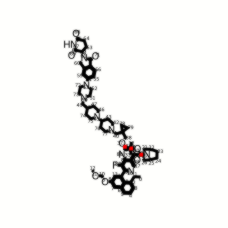 CCc1cccc2cc(OCOC)cc(-c3ncc4c(N5CC6CCC(C5)N6C(=O)OC(C)(C)C)nc(OCC5(CN6CCC(N7CCC(CN8CCN(c9ccc%10c(c9)CN([C@H]9CCC(=O)NC9=O)C%10=O)CC8)CC7)CC6)CC5)nc4c3F)c12